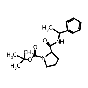 CC(NC(=O)[C@H]1CCCN1C(=O)OC(C)(C)C)c1ccccc1